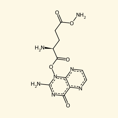 NOC(=O)CC[C@H](N)C(=O)On1c(N)nc(=O)c2nccnc21